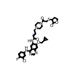 O=C(/C=C/CN1CCN(C(=O)CSC2CCOC2=O)CC1)Nc1cc2c(Nc3ccc(F)c(Cl)c3)ncnc2cc1OCC1CC1